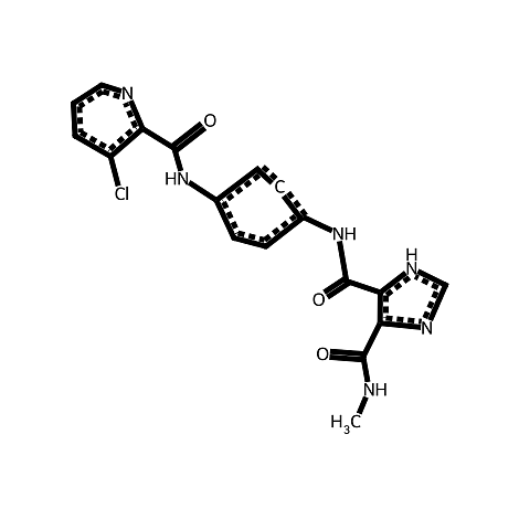 CNC(=O)c1nc[nH]c1C(=O)Nc1ccc(NC(=O)c2ncccc2Cl)cc1